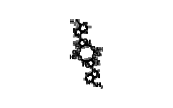 Nc1ncnc2c1ncn2[C@@H]1O[C@@H]2CO[P@@](=O)(S)O[C@H]3[C@H](F)[C@H](n4cnc5c(N)ncnc54)O[C@@H]3COP(=O)(S)O[C@H]2[C@@H]1F